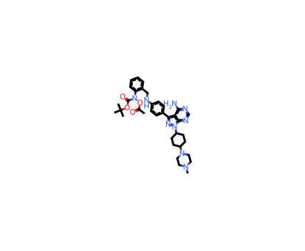 CC(=O)ON(C(=O)OC(C)(C)C)c1ccccc1CNc1ccc(-c2nn(C3CCC(N4CCN(C)CC4)CC3)c3ncnc(N)c23)cc1